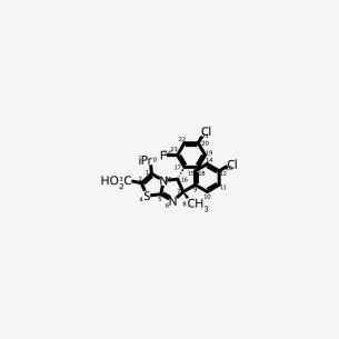 CC(C)C1=C(C(=O)O)SC2=N[C@@](C)(c3ccc(Cl)cc3)[C@@H](c3ccc(Cl)cc3F)N21